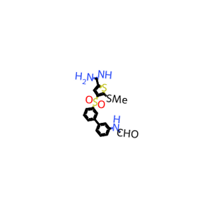 CSc1sc(C(=N)N)cc1S(=O)(=O)c1cccc(-c2cccc(NC=O)c2)c1